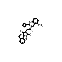 Cc1ccccc1CN(C(=O)CN1C(=O)N[C@]2(CCc3ccccc32)C1=O)[C@@H](C)C1CCC1